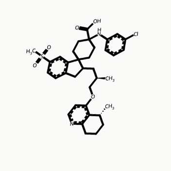 C[C@@H](COc1ccnc2c1[C@H](C)CCC2)CC1Cc2ccc(S(C)(=O)=O)cc2C12CCC(Nc1cccc(Cl)c1)(C(=O)O)CC2